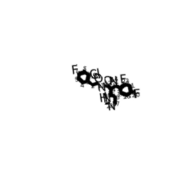 O=C(Cc1ccc(F)cc1Cl)Nc1onc(-c2ccc(F)cc2F)c1-c1ccncn1